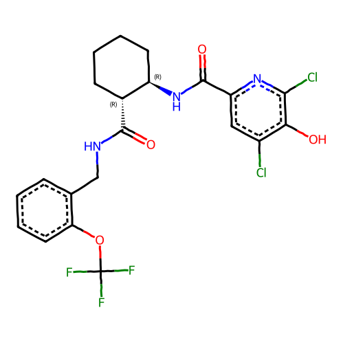 O=C(N[C@@H]1CCCC[C@H]1C(=O)NCc1ccccc1OC(F)(F)F)c1cc(Cl)c(O)c(Cl)n1